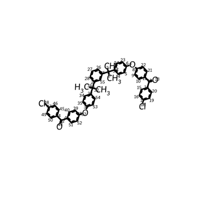 CC(C)(c1ccc(Oc2ccc(C(=O)c3ccc(Cl)cc3)cc2)cc1)c1cccc(C(C)(C)c2ccc(Oc3ccc(C(=O)c4ccc(Cl)cc4)cc3)cc2)c1